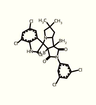 BC12C(=O)N(c3cc(Cl)cc(Cl)c3)C(=O)C1(B)C1(C(=O)Nc3c(Cl)cc(Cl)cc31)N1CC(C)(C)CC12